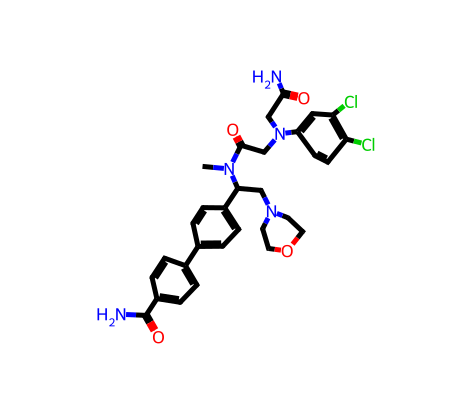 CN(C(=O)CN(CC(N)=O)c1ccc(Cl)c(Cl)c1)C(CN1CCOCC1)c1ccc(-c2ccc(C(N)=O)cc2)cc1